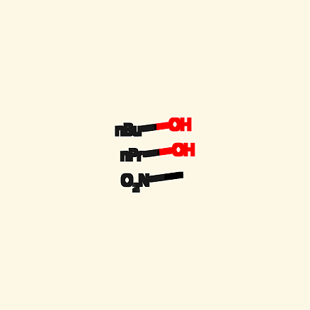 CCCCO.CCCO.C[N+](=O)[O-]